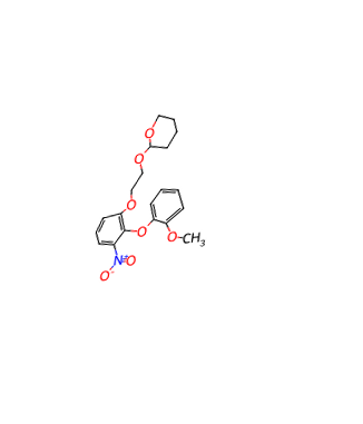 COc1ccccc1Oc1c(OCCOC2CCCCO2)cccc1[N+](=O)[O-]